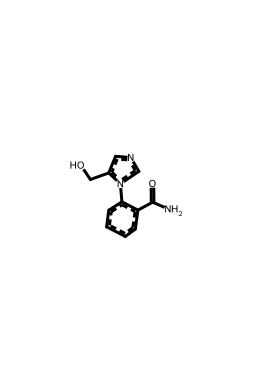 NC(=O)c1ccccc1-n1cncc1CO